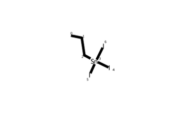 CC[CH2][Sn]([I])([I])[I]